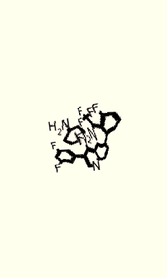 NC1CCN(c2c(-c3cc(F)cc(F)c3)cnc3ccc(-c4cccc(F)c4C(N)C(F)(F)F)cc23)CC1